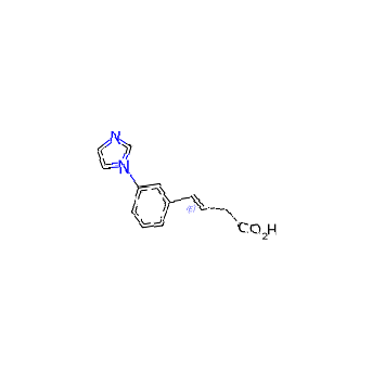 O=C(O)C/C=C/c1cccc(-n2ccnc2)c1